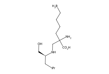 BCCCCC(N)(CN[C@H](CO)CC(C)C)C(=O)O